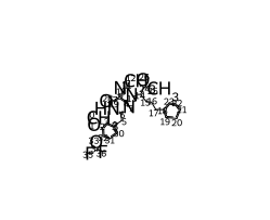 COc1cc(Cc2nc3c(nc(C)n3C(CCCc3ccccc3)C(C)=O)c(=O)[nH]2)ccc1OC(F)F